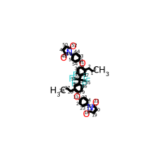 CCCc1cc(C(c2ccc(Oc3ccc(N4C(=O)C=CC4=O)cc3)c(CCC)c2)(C(F)(F)F)C(F)(F)F)ccc1Oc1ccc(N2C(=O)C=CC2=O)cc1